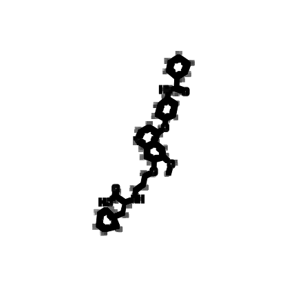 COc1cc2c(Oc3ccc(NC(=O)c4ccccc4)cc3)ccnc2cc1OCCCN[C@@H](Cc1ccccc1)C(=O)O